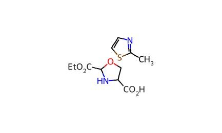 CCOC(=O)C1NC(C(=O)O)CO1.Cc1nccs1